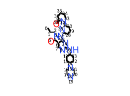 C=CCn1c(=O)c2cnc(Nc3ccc(N4CCN(C)CC4)cc3)nc2n1-c1cccc(-n2ccccc2=O)n1